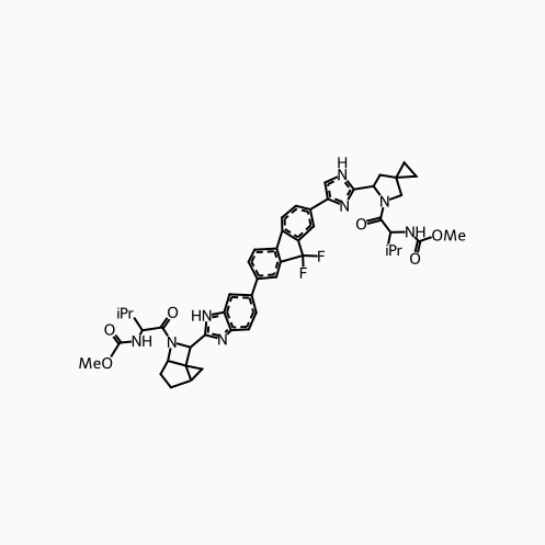 COC(=O)NC(C(=O)N1CC2(CC2)CC1c1nc(-c2ccc3c(c2)C(F)(F)c2cc(-c4ccc5nc(C6N(C(=O)C(NC(=O)OC)C(C)C)C7CCC8CC876)[nH]c5c4)ccc2-3)c[nH]1)C(C)C